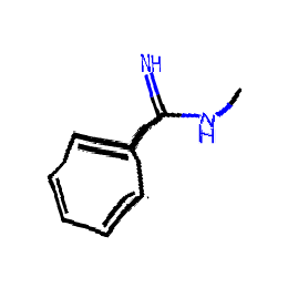 CNC(=N)c1[c]cccc1